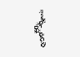 Cc1nc2ccc(Oc3ccc4ncc(-c5cnn(C6CCN(c7ccccn7)CC6)c5)nc4c3Cl)cc2n1COCC[Si](C)(C)C